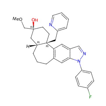 COC[C@]1(O)CC[C@]2(Cc3ccccn3)c3cc4cnn(-c5ccc(F)cc5)c4cc3CCC[C@@H]2C1